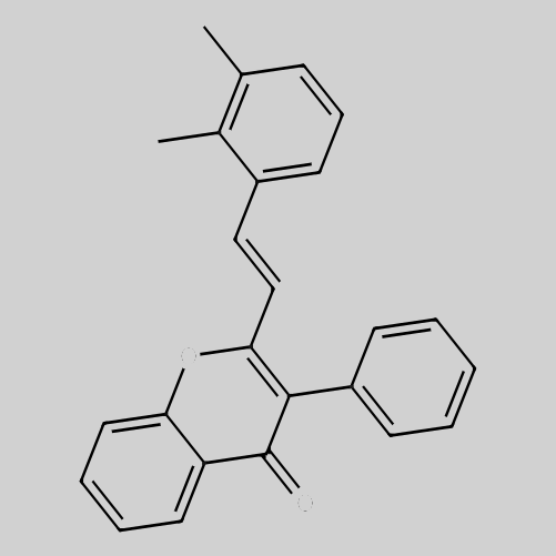 Cc1cccc(/C=C/c2oc3ccccc3c(=O)c2-c2ccccc2)c1C